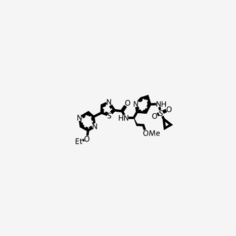 CCOc1cncc(-c2cnc(C(=O)N[C@H](CCOC)c3cc(NS(=O)(=O)C4CC4)ccn3)s2)n1